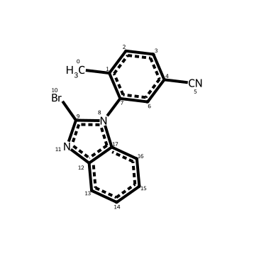 Cc1ccc(C#N)cc1-n1c(Br)nc2ccccc21